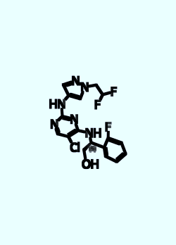 OC[C@@H](Nc1nc(Nc2cnn(CC(F)F)c2)ncc1Cl)c1ccccc1F